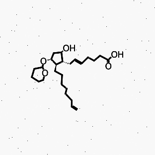 C=CCCCCCC[C@@H]1[C@@H](CC=CCCCC(=O)O)[C@@H](O)C[C@H]1OC1CCCCO1